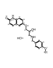 CCOc1ccc(CNCC(O)COc2ccc3[nH]c(=O)ccc3c2)cc1.Cl